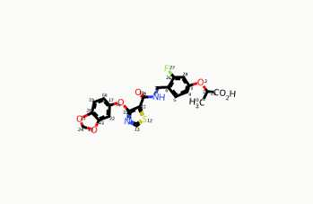 CC(Oc1ccc(CNC(=O)c2scnc2Oc2ccc3c(c2)OCO3)c(F)c1)C(=O)O